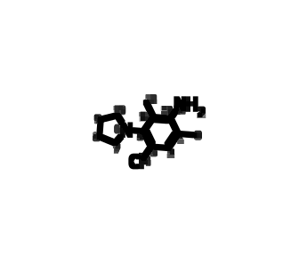 Cc1cc(Cl)c(N2CCCC2)c(C)c1N